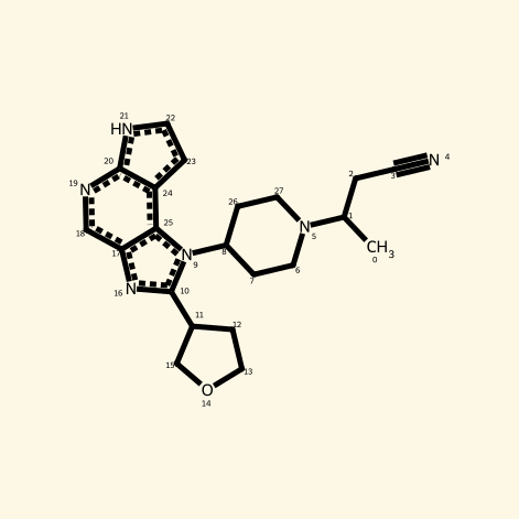 CC(CC#N)N1CCC(n2c(C3CCOC3)nc3cnc4[nH]ccc4c32)CC1